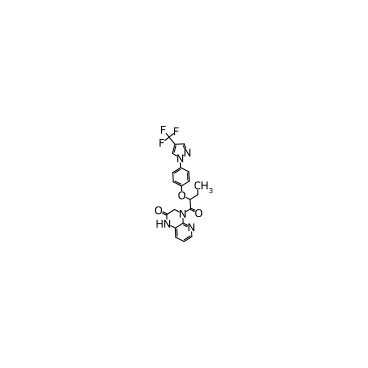 CCC(Oc1ccc(-n2cc(C(F)(F)F)cn2)cc1)C(=O)N1CC(=O)Nc2cccnc21